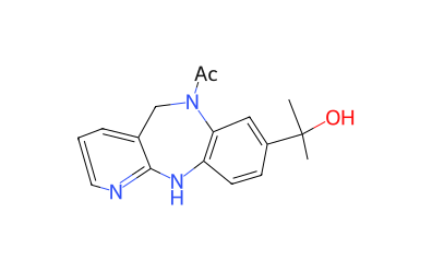 CC(=O)N1Cc2cccnc2Nc2ccc(C(C)(C)O)cc21